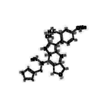 CCCN(Cc1ccsc1)c1c2c(nc3c(-c4ccc(OC)cc4C)c(C)nn13)COC2